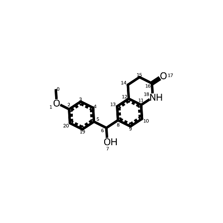 COc1ccc(C(O)c2ccc3c(c2)CCC(=O)N3)cc1